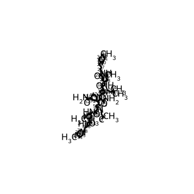 CC(C)CCn1cc(-c2c(C(N)=O)n(-c3cc(C(=O)Nc4cc(C(=O)NCCCN5CCN(C)CC5)n(C)c4)n(CCC(C)C)c3)c3ccc(C(N)=O)cc23)cc1C(=O)Nc1cc(C(=O)NCCCN2CCN(C)CC2)n(C)c1